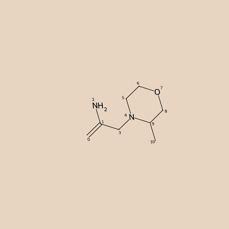 C=C(N)CN1CCOCC1C